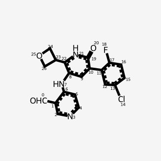 O=Cc1cnccc1Nc1cc(-c2cc(Cl)ccc2F)c(=O)[nH]c1C1COC1